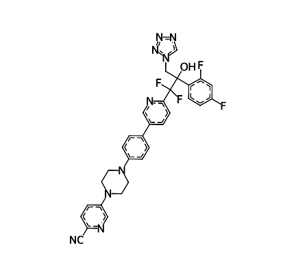 N#Cc1ccc(N2CCN(c3ccc(-c4ccc(C(F)(F)C(O)(Cn5cnnn5)c5ccc(F)cc5F)nc4)cc3)CC2)cn1